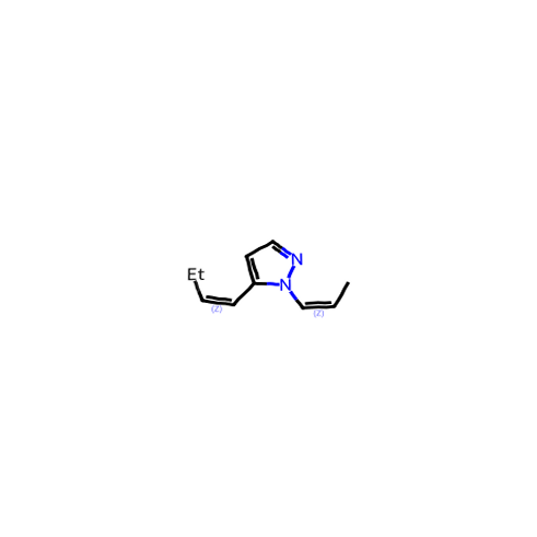 C/C=C\n1nccc1/C=C\CC